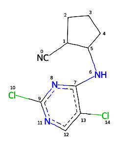 N#CC1CCCC1Nc1nc(Cl)ncc1Cl